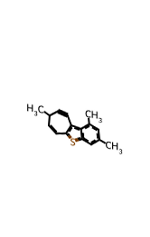 Cc1cc(C)c2c3c(sc2c1)C=CC(C)C#C3